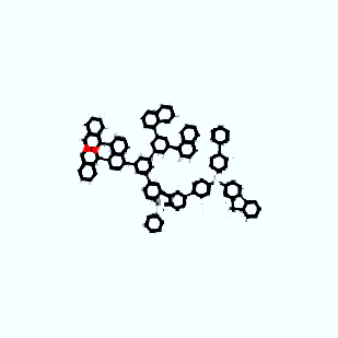 CC1(C)c2ccccc2-c2ccc(N(c3ccc(-c4ccccc4)cc3)c3ccc(-c4ccc5c(c4)c4cc(-c6cc(-c7cc(-c8cccc9ccccc89)cc(-c8cccc9ccccc89)c7)cc(-c7ccc(-c8cccc9ccccc89)c8c(-c9cccc%10ccccc9%10)cccc78)c6)ccc4n5-c4ccccc4)cc3)cc21